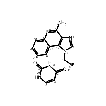 CC(C)Cn1cnc2c(N)nc3ccccc3c21.O=c1cc[nH]c(=O)[nH]1